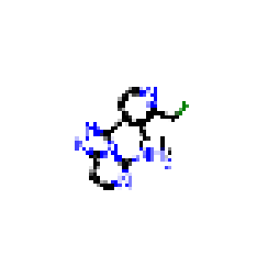 Cc1c(-c2nnc3ccnc(N)n23)ccnc1CF